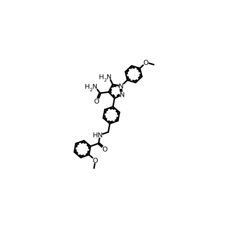 COc1ccc(-n2nc(-c3ccc(CNC(=O)c4ccccc4OC)cc3)c(C(N)=O)c2N)cc1